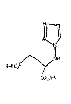 O=C(O)C[C@H](Nn1ccnc1)C(=O)O